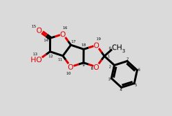 CC1(c2ccccc2)OC2OC3C(O)C(=O)OC3C2O1